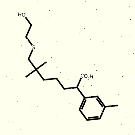 Cc1cccc(C(CCCC(C)(C)CSCCO)C(=O)O)c1